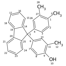 Cc1ccc(C2(c3ccc(O)c(C)c3)c3ccccc3-c3ccccc32)cc1C